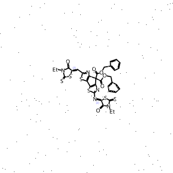 CCN1C(=O)/C(=C/c2nc3c(s2)-c2sc(/N=C4\SC(=S)N(CC)C4=O)nc2C3(C(=O)OCc2ccccc2)C(=O)OCc2ccccc2)SC1=S